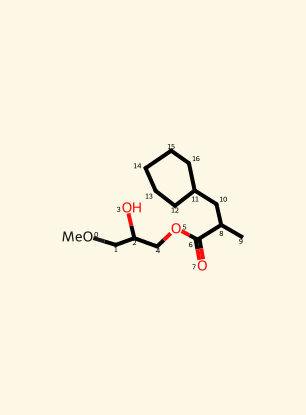 COCC(O)COC(=O)C(C)CC1CCCCC1